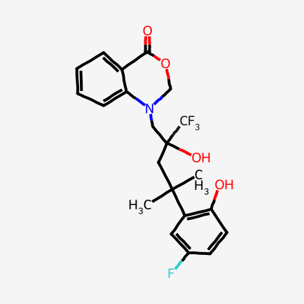 CC(C)(CC(O)(CN1COC(=O)c2ccccc21)C(F)(F)F)c1cc(F)ccc1O